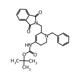 CC(C)(C)OC(=O)NC1=CC(CN2C(=O)c3ccccc3C2=O)N(Cc2ccccc2)CC1